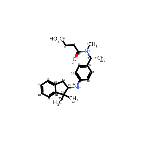 CN(C(=O)CCC(=O)O)[C@@H](c1ccc(NC2Cc3ccccc3C2(C)C)cc1)C(F)(F)F